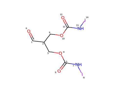 O=CC(COC(=O)NI)COC(=O)NI